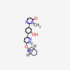 Cn1c(-c2ccc(-c3ccc(O[C@@H]4C[C@H]5CCC[C@H](N5)[C@H]4F)nn3)c(O)c2)nccc1=O